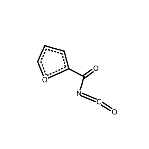 O=C=NC(=O)c1ccco1